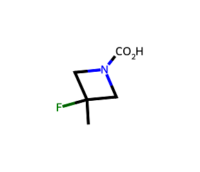 CC1(F)CN(C(=O)O)C1